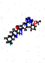 CCOc1ccccc1-n1nnnc1N1CCC(NC(=O)c2ccc(-c3cccc(F)c3)nc2)CC1